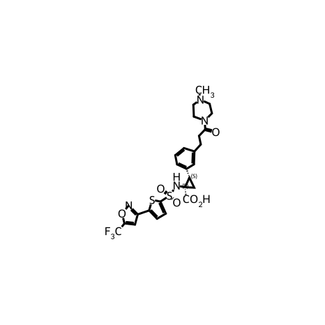 CN1CCN(C(=O)CCc2cccc([C@@H]3C[C@]3(NS(=O)(=O)c3ccc(-c4cc(C(F)(F)F)on4)s3)C(=O)O)c2)CC1